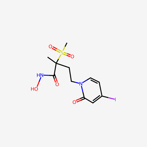 CC(CCn1ccc(I)cc1=O)(C(=O)NO)S(C)(=O)=O